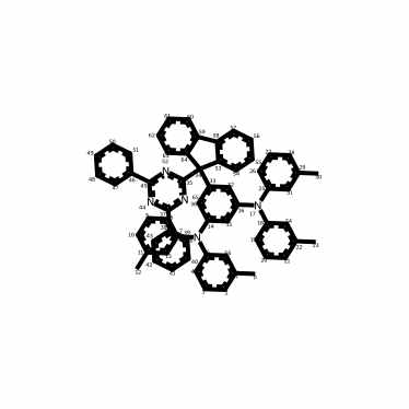 Cc1cccc(N(c2cccc(C)c2)c2cc(N(c3cccc(C)c3)c3cccc(C)c3)cc(C3(c4nc(-c5ccccc5)nc(-c5ccccc5)n4)c4ccccc4-c4ccccc43)c2)c1